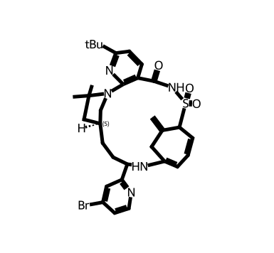 C=C1CC2=CC=CC1S(=O)(=O)NC(=O)c1ccc(C(C)(C)C)nc1N1C[C@@H](CCC(c3cc(Br)ccn3)N2)CC1(C)C